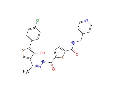 C/C(=N/NC(=O)c1ccc(C(=O)NCc2ccncc2)s1)c1csc(-c2ccc(Cl)cc2)c1O